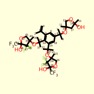 C=C(C)c1cc(C(C)(C)OC2(C)COC(C)(O)C2)cc(C(C)(C)OC2(C)COC(O)(C(F)(F)F)C2(F)F)c1C(C)(C)OC1(C)COC(O)(C(F)(F)F)C1(F)F